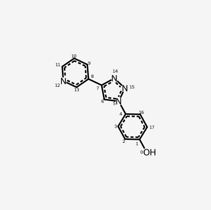 Oc1ccc(-n2cc(-c3cccnc3)nn2)cc1